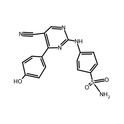 N#Cc1cnc(Nc2ccc(S(N)(=O)=O)cc2)nc1-c1ccc(O)cc1